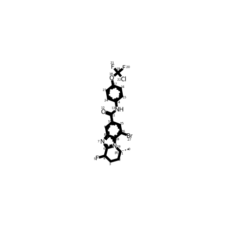 C[C@@H]1CCC(F)c2nc3cc(C(=O)Nc4ccc(OC(F)(F)Cl)cc4)cc(Br)c3n21